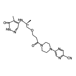 Cc1c(N[C@@H](C)COCCC(=O)N2CCN(c3cnc(C#N)cn3)CC2)cn[nH]c1=O